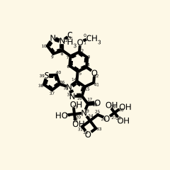 COc1cc2c(cc1-c1ccnn1C)-c1c(c(C(=O)N(C(O)(O)O)C3(COC(O)(O)O)COC3)nn1-c1ccsc1)CO2